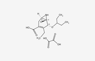 CCC1=C(C(=O)O)C[C@H]2N[C@@H]2[C@@H]1OC(CC)CC.O=C(O)C(=O)O